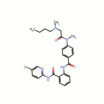 CCCCN(C)CC(=O)N(C)c1ccc(C(=O)Nc2ccccc2C(=O)Nc2ccc(Cl)cn2)cc1